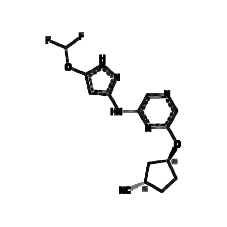 N#C[C@H]1CC[C@H](Oc2cncc(Nc3cc(OC(F)F)[nH]n3)n2)C1